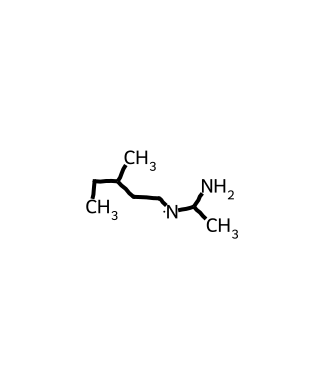 CCC(C)CC[N]C(C)N